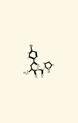 CC(CC(=O)c1ccc(Br)cc1)C(=O)OC(=O)[C@@H]1CCCN1